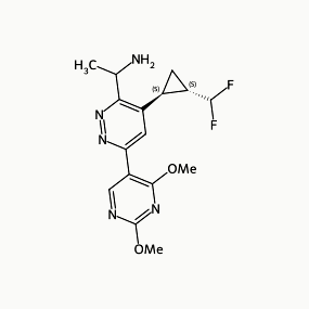 COc1ncc(-c2cc([C@H]3C[C@@H]3C(F)F)c(C(C)N)nn2)c(OC)n1